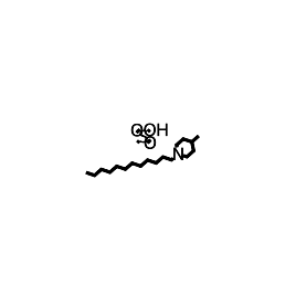 CCCCCCCCCCCCN1CCC(C)CC1.CS(=O)(=O)O